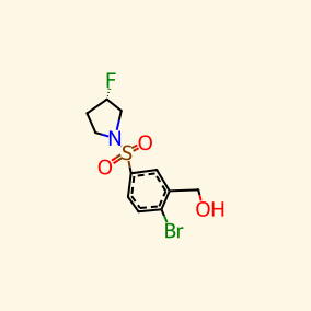 O=S(=O)(c1ccc(Br)c(CO)c1)N1CC[C@H](F)C1